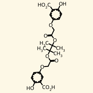 CC(C)(OC(=O)COc1ccc(O)c(C(=O)O)c1)C(C)(C)OC(=O)COc1ccc(O)c(C(=O)O)c1